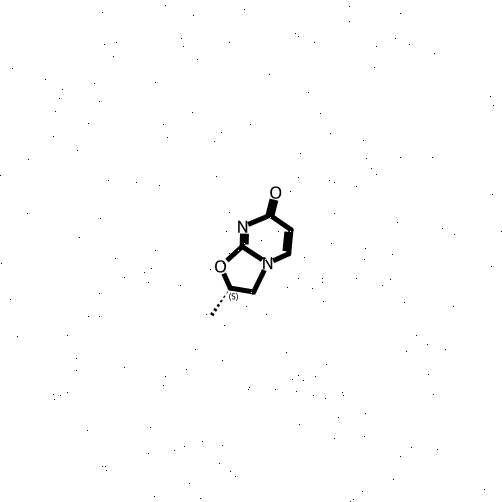 C[C@H]1Cn2ccc(=O)nc2O1